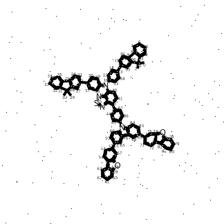 CC1(C)c2ccccc2-c2ccc(-c3ccc(N(c4ccc(-c5ccc6c(c5)C(C)(C)c5ccccc5-6)cc4)c4ccc(-c5ccc(-n6c7ccc(-c8ccc9c(c8)oc8ccccc89)cc7c7cc(-c8ccc9c(c8)oc8ccccc89)ccc76)cc5)c5nsnc45)cc3)cc21